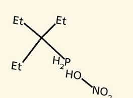 CCC(P)(CC)CC.O=[N+]([O-])O